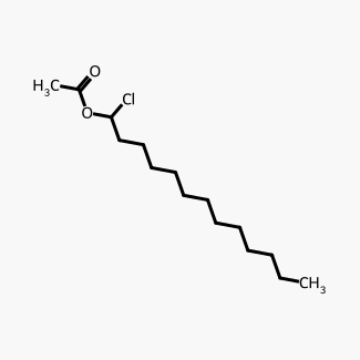 CCCCCCCCCCCCC(Cl)OC(C)=O